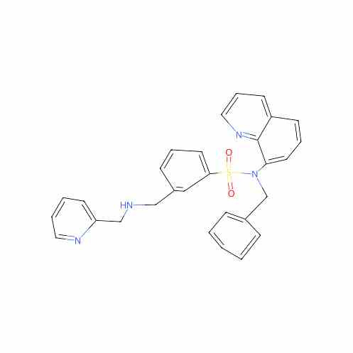 O=S(=O)(c1cccc(CNCc2ccccn2)c1)N(Cc1ccccc1)c1cccc2cccnc12